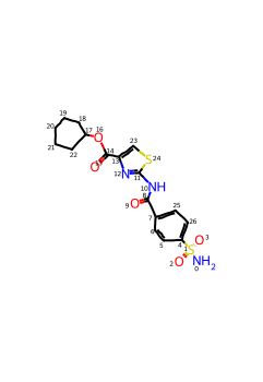 NS(=O)(=O)c1ccc(C(=O)Nc2nc(C(=O)OC3CCCCC3)cs2)cc1